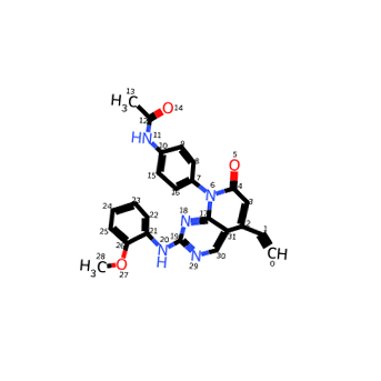 C#Cc1cc(=O)n(-c2ccc(NC(C)=O)cc2)c2nc(Nc3ccccc3OC)ncc12